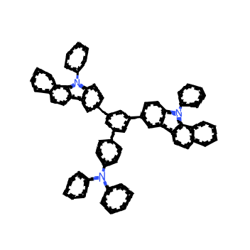 c1ccc(N(c2ccccc2)c2ccc(-c3cc(-c4ccc5c(c4)c4ccc6ccccc6c4n5-c4ccccc4)cc(-c4ccc5c(c4)c4ccc6ccccc6c4n5-c4ccccc4)c3)cc2)cc1